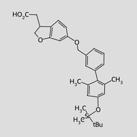 Cc1cc(O[Si](C)(C)C(C)(C)C)cc(C)c1-c1cccc(COc2ccc3c(c2)OCC3CC(=O)O)c1